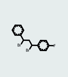 Fc1ccc(C(Br)CC(Br)c2ccccc2)cc1